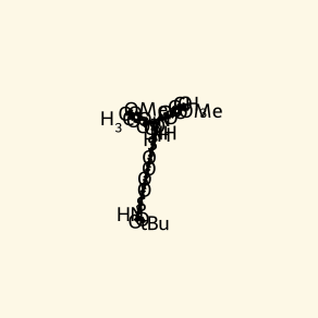 COC(=O)C1(C)OCC(OC(=O)NCC(CNC(=O)OC2COC(C)(C(=O)OC)OC2)OC(=O)NCCSCCCOCCOCCOCCOCCCSCCNC(=O)OC(C)(C)C)CO1